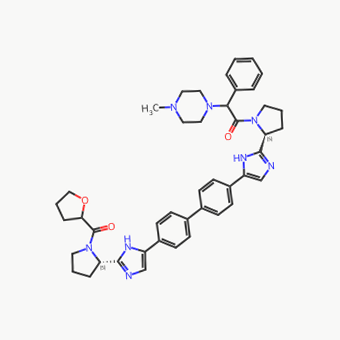 CN1CCN(C(C(=O)N2CCC[C@H]2c2ncc(-c3ccc(-c4ccc(-c5cnc([C@@H]6CCCN6C(=O)C6CCCO6)[nH]5)cc4)cc3)[nH]2)c2ccccc2)CC1